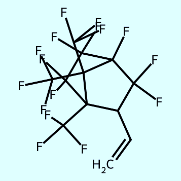 C=CC1C(F)(F)C2(F)C(F)(F)C(F)(F)C1(C(F)(F)F)C2(C(F)(F)F)C(F)(F)F